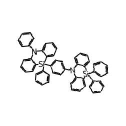 c1ccc(N2c3ccccc3[Si](c3ccccc3)(c3ccc(N4c5ccccc5[Si](c5ccccc5)(c5ccccc5)c5ccccc54)cc3)c3ccccc32)cc1